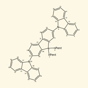 CCCCCC1(CCCCC)c2cc(-n3c4ccccc4c4ccccc43)ccc2-c2ccc(-n3c4ccccc4c4ccccc43)cc21